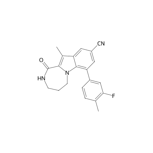 Cc1ccc(-c2cc(C#N)cc3c(C)c4n(c23)CCCNC4=O)cc1F